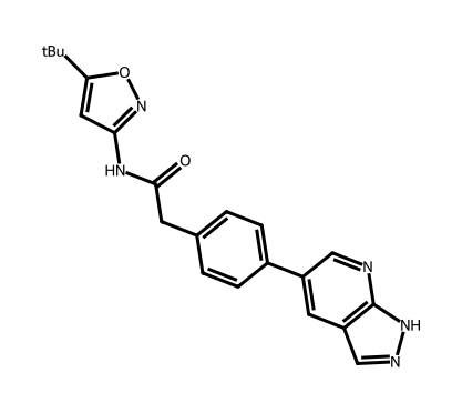 CC(C)(C)c1cc(NC(=O)Cc2ccc(-c3cnc4[nH]ncc4c3)cc2)no1